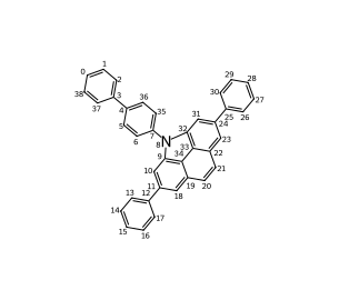 c1ccc(-c2ccc(-n3c4cc(-c5ccccc5)cc5ccc6cc(-c7ccccc7)cc3c6c54)cc2)cc1